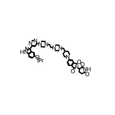 CC(C)Oc1ccc2[nH]nc(-c3cc(N4CCN(CCN5CCN(CC6CCN(c7ccc8c(c7)C(=O)N(C7CCC(=O)NC7=O)C8=O)CC6)CC5)CC4)ncn3)c2c1